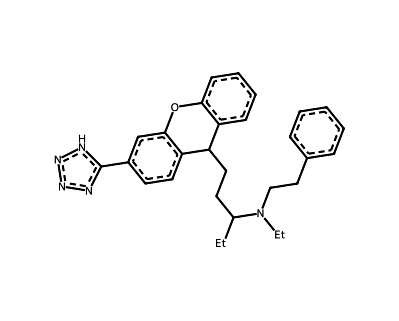 CCC(CCC1c2ccccc2Oc2cc(-c3nnn[nH]3)ccc21)N(CC)CCc1ccccc1